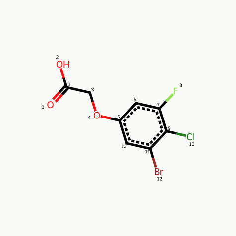 O=C(O)COc1cc(F)c(Cl)c(Br)c1